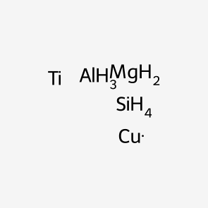 [AlH3].[Cu].[MgH2].[SiH4].[Ti]